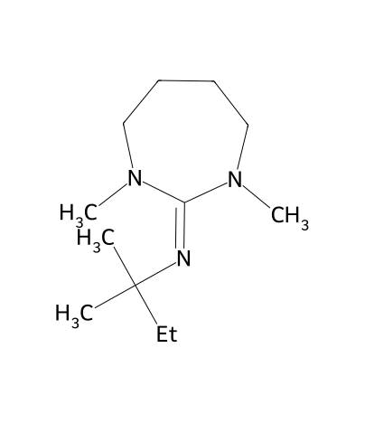 CCC(C)(C)N=C1N(C)CCCCN1C